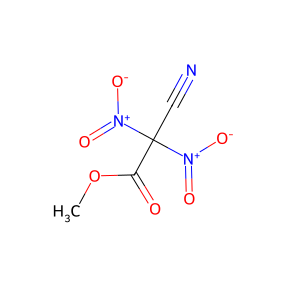 COC(=O)C(C#N)([N+](=O)[O-])[N+](=O)[O-]